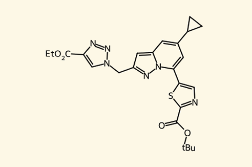 CCOC(=O)c1cn(Cc2cc3cc(C4CC4)cc(-c4cnc(C(=O)OC(C)(C)C)s4)n3n2)nn1